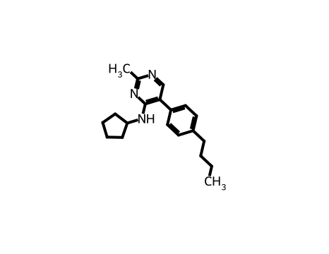 CCCCc1ccc(-c2cnc(C)nc2NC2CCCC2)cc1